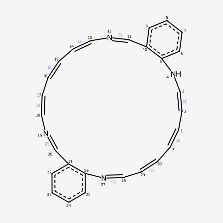 C1=C\C=C/Nc2ccccc2\C=N/C=C\C=C/C=C\N=C/c2ccccc2/N=C\C=C/1